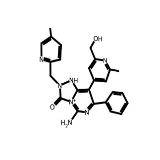 Cc1ccc(Cn2[nH]c3c(-c4cc(C)nc(CO)c4)c(-c4ccccc4)nc(N)[n+]3c2=O)nc1